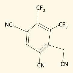 N#CCc1c(C#N)cc(C#N)c(C(F)(F)F)c1C(F)(F)F